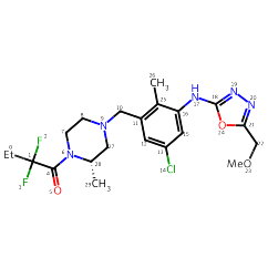 CCC(F)(F)C(=O)N1CCN(Cc2cc(Cl)cc(Nc3nnc(COC)o3)c2C)C[C@@H]1C